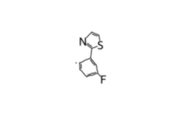 Fc1cc[c]c(-c2nccs2)c1